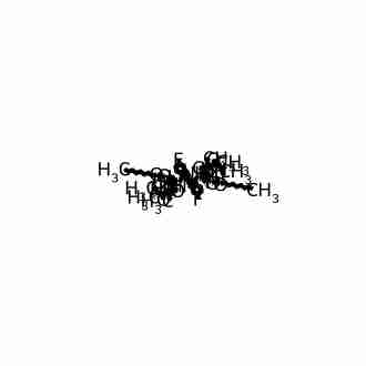 CCCCCCCCOC(=O)O[C@H]1C[C@@H](Cc2c(-c3[nH]c4cc(F)ccc4c3C[C@@H]3C[C@H](OC(=O)OCCCCCCCC)CN3C(=O)[C@H](CC)NC(=O)[C@H](C)NC)[nH]c3cc(F)ccc23)N(C(=O)[C@H](CC)NC(=O)[C@H](C)NC)C1